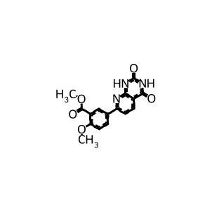 COC(=O)c1cc(-c2ccc3c(=O)[nH]c(=O)[nH]c3n2)ccc1OC